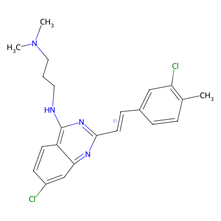 Cc1ccc(/C=C/c2nc(NCCCN(C)C)c3ccc(Cl)cc3n2)cc1Cl